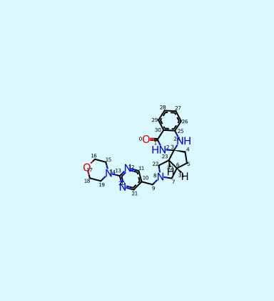 O=C1N[C@]2(CC[C@@H]3CN(Cc4cnc(N5CCOCC5)nc4)C[C@@H]32)Nc2ccccc21